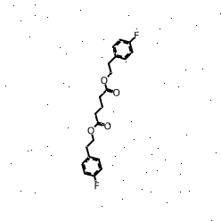 O=C(CCCC(=O)OCCc1ccc(F)cc1)OCCc1ccc(F)cc1